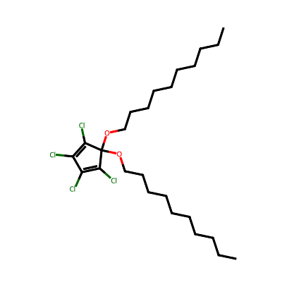 CCCCCCCCCCOC1(OCCCCCCCCCC)C(Cl)=C(Cl)C(Cl)=C1Cl